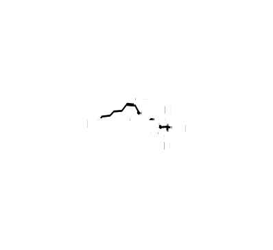 CCCCCC=C(C)C(=O)OCOC(=O)C(C)(C)C